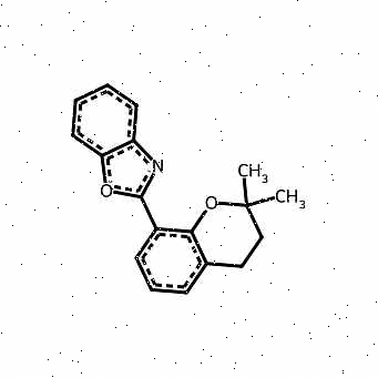 CC1(C)CCc2cccc(-c3nc4ccccc4o3)c2O1